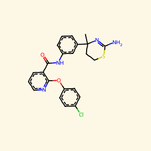 CC1(c2cccc(NC(=O)c3cccnc3Oc3ccc(Cl)cc3)c2)CCSC(N)=N1